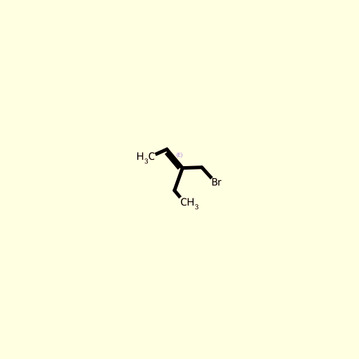 C/C=C(\CC)CBr